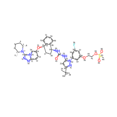 C[C@@H]1CCC[C@H](C)N1c1nnc2ccc(O[C@@H]3CC[C@H](NC(=O)Nc4cc(C(C)(C)C)nn4-c4cc(F)cc(OCCOS(C)(=O)=O)c4)c4ccccc43)cn12